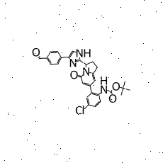 CC(C)(C)OC(=O)Nc1ccc(Cl)cc1-c1cc2n(c(=O)c1)C(c1nc(-c3ccc(C=O)cc3)c[nH]1)CC2